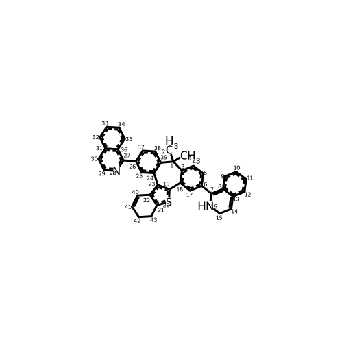 CC1(C)c2ccc(C3=c4ccccc4=CCN3)cc2-c2sc3c(c2-c2cc(-c4nccc5ccccc45)ccc21)C=CCC3